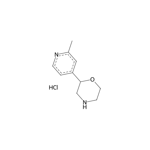 Cc1cc(C2CNCCO2)ccn1.Cl